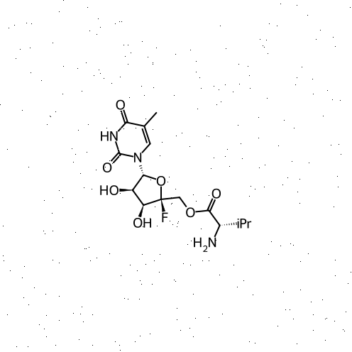 Cc1cn([C@@H]2O[C@](F)(COC(=O)[C@@H](N)C(C)C)[C@@H](O)[C@H]2O)c(=O)[nH]c1=O